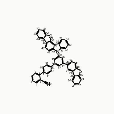 N#Cc1ccccc1-c1ccc(-c2cc(-c3ccc4sc5ccccc5c4c3)cc(-n3c4ccccc4c4c5oc6ccccc6c5ccc43)c2)cc1